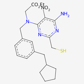 CCOC(=O)CN(Cc1cccc(CC2CCCC2)c1)c1nc(CS)nc(N)c1[N+](=O)[O-]